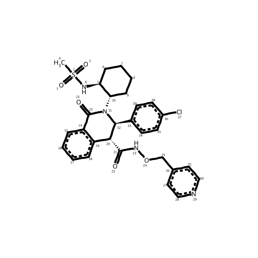 CS(=O)(=O)N[C@H]1CCCC[C@@H]1N1C(=O)c2ccccc2[C@@H](C(=O)NOCc2ccncc2)[C@@H]1c1ccc(Cl)cc1